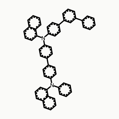 c1ccc(-c2cccc(-c3ccc(N(c4ccc(-c5ccc(N(c6ccccc6)c6cccc7ccccc67)cc5)cc4)c4cccc5ccccc45)cc3)c2)cc1